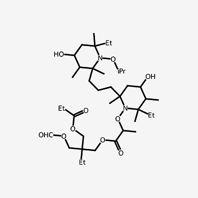 CCC(=O)OCC(CC)(COC=O)COC(=O)C(C)ON1C(C)(CCCC2(C)C(C)C(O)CC(C)(CC)N2OC(C)C)CC(O)C(C)C1(C)CC